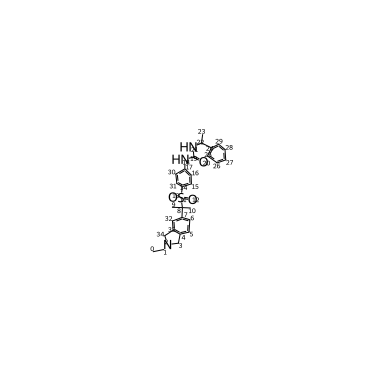 CCN1Cc2ccc(C(C)(C)S(=O)(=O)c3ccc(NC(=O)NC(C)c4ccccc4)cc3)cc2C1